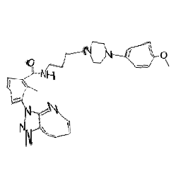 COc1ccc(N2CCN(CCCNC(=O)c3cccc(-n4nnc5cccnc54)c3C)CC2)cc1